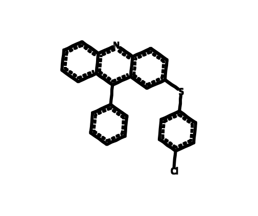 Clc1ccc(Sc2ccc3nc4ccccc4c(-c4ccccc4)c3c2)cc1